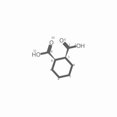 O=C(O)[C@H]1CCCC[C@H]1C(=O)O